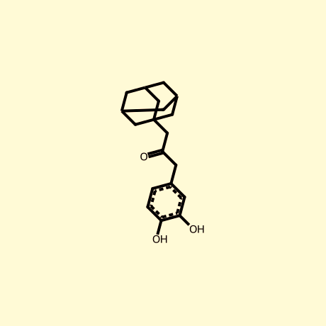 O=C(Cc1ccc(O)c(O)c1)CC12CC3CC(CC(C3)C1)C2